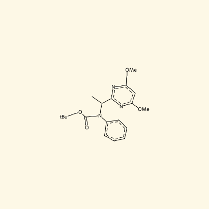 COc1cc(OC)nc(C(C)N(C(=O)OC(C)(C)C)c2ccccc2)n1